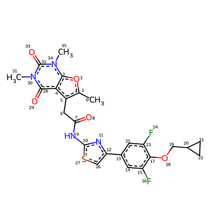 Cc1oc2c(c1CC(=O)Nc1nc(-c3cc(F)c(OCC4CC4)c(F)c3)cs1)c(=O)n(C)c(=O)n2C